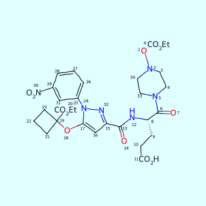 CCOC(=O)ON1CCN(C(=O)[C@H](CCC(=O)O)NC(=O)c2cc(OC3(C(=O)OCC)CCC3)n(-c3cccc([N+](=O)[O-])c3)n2)CC1